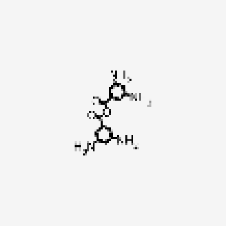 Nc1cc(N)cc(C(=O)OC(=O)c2cc(N)cc(N)c2)c1